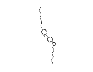 CCCCCCOc1ccc(-c2ccc(CCCCCC)cn2)cc1